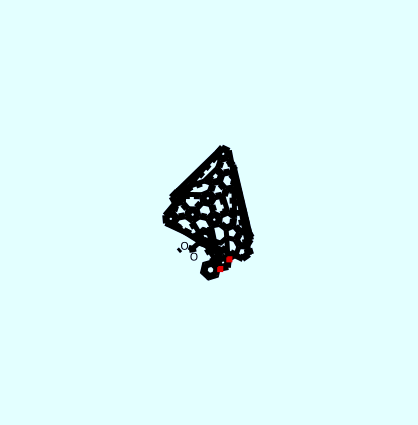 COC(=O)c1cccc(CC23c4c5c6c7c8c9c%10c%11c(c2c2c%12c3c3c%13c4c6c4c6c%13c%13c3c3c%12c%12c%14c2c%11c2c%11c%10c%10c8c8c7c4c4c6c6c%13c7c3c%12c3c(c%142)c2c%11c%10c%10c8c4c4c%10c2c3c7c64)C59NCc2ccccc2)c1